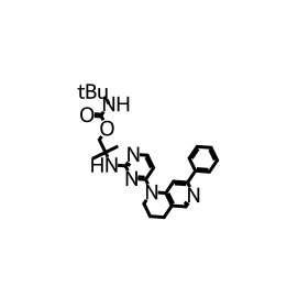 CC(C)(C)NC(=O)OCC(C)(C)Nc1nccc(N2CCCc3cnc(-c4ccccc4)cc32)n1